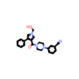 N#Cc1cccc(N2CCN(C(=O)c3cn(CO)cc3-c3ccccc3)CC2)c1